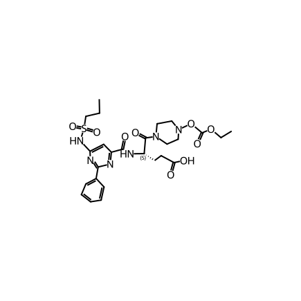 CCCS(=O)(=O)Nc1cc(C(=O)N[C@@H](CCC(=O)O)C(=O)N2CCN(OC(=O)OCC)CC2)nc(-c2ccccc2)n1